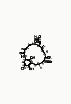 CO[C@H]1/C=C\C=C(/C)C(=O)Nc2cc(Cl)c(O)c(c2O)C[C@@H](C)C[C@H](OC)[C@H](O)[C@@H](C)/C=C(\C)[C@@H]1OC(N)=O